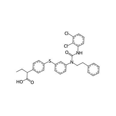 CCC(C(=O)O)c1ccc(Sc2cccc(N(CCc3ccccc3)C(=O)Nc3cccc(Cl)c3Cl)c2)cc1